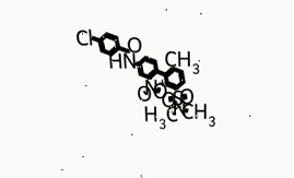 Cc1ccc(S(=O)(=O)N(C)C)cc1-c1ccc(NC(=O)c2ccc(Cl)cc2)cc1[N+](=O)[O-]